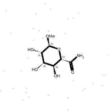 CO[C@H]1O[C@H](C(N)=O)[C@@H](O)[C@H](O)[C@@H]1O